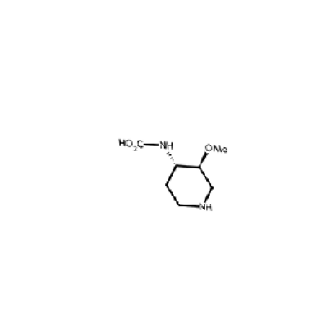 CO[C@H]1CNCC[C@@H]1NC(=O)O